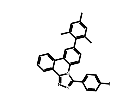 Cc1cc(C)c(-c2ccc3c(c2)c2ccccc2c2nnc(-c4ccc(I)cc4)n32)c(C)c1